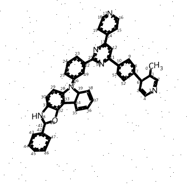 CC1C=NC=CC1c1ccc(-c2cc(-c3ccncc3)nc(-c3cccc(N4c5ccc6c(c5C5C=CC=CC54)OC(c4ccccc4)N6)c3)n2)cc1